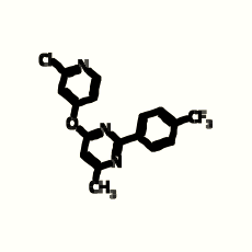 Cc1cc(Oc2ccnc(Cl)c2)nc(-c2ccc(C(F)(F)F)cc2)n1